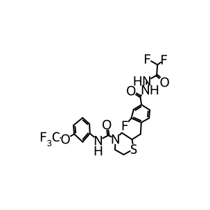 O=C(NNC(=O)C(F)F)c1ccc(CC2CN(C(=O)Nc3cccc(OC(F)(F)F)c3)CCS2)c(F)c1